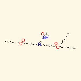 CCCCCCCCOC(=O)CCCCCCCN(CCCCCCCC(=O)OC(CCCCCCCC)CCCCCCCC)CCCNC(=O)C(C)C